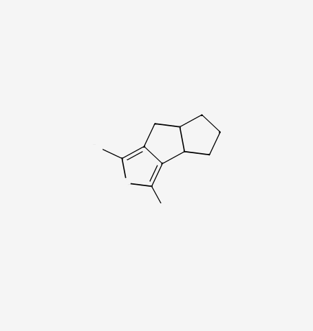 CCc1sc(C)c2c1CC1CCCC21